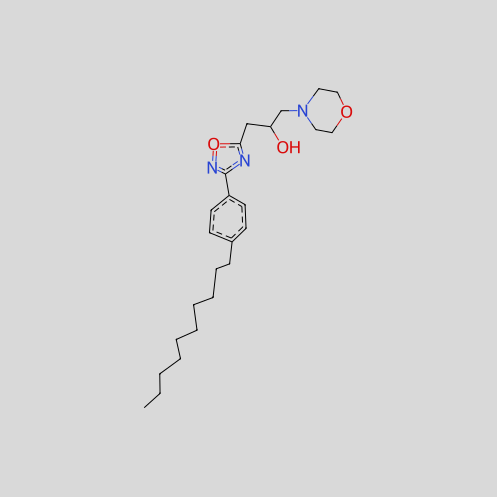 CCCCCCCCCCc1ccc(-c2noc(CC(O)CN3CCOCC3)n2)cc1